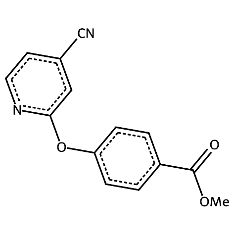 COC(=O)c1ccc(Oc2cc(C#N)ccn2)cc1